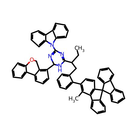 CCC(Cc1ccccc1-c1ccc2c(c1C)-c1ccccc1C21c2ccccc2-c2ccccc21)C1=NC(n2c3ccccc3c3ccccc32)=NC(c2cccc3c2COc2ccccc2-3)N1